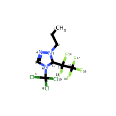 CCCN1N=CN(C(Cl)(Cl)Cl)C1C(F)(F)C(F)(F)F